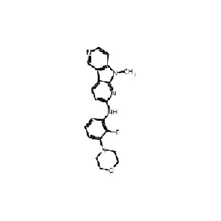 Cn1c2ccncc2c2ccc(Nc3cccc(N4CCOCC4)c3F)nc21